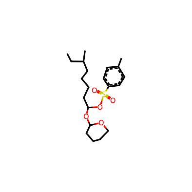 CCC(C)CCCCC(OC1CCCCO1)OS(=O)(=O)c1ccc(C)cc1